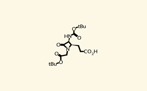 CC(C)(C)OC(=O)CN1C(=O)[C@@H](NC(=O)OC(C)(C)C)[C@H]1CCC(=O)O